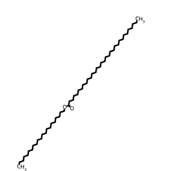 CCCCCCCCCCCCCCCCCCCCCCCCCCCCCCCC(=O)OCCCCCCCCCCCCCCCCCCCCC